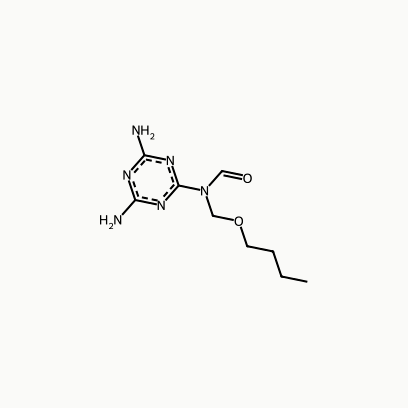 CCCCOCN(C=O)c1nc(N)nc(N)n1